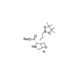 COC(=O)[C@H]1NC[C@@H]2OC[C@@]21CCCB1OC(C)(C)C(C)(C)O1